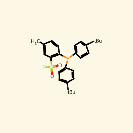 Cc1ccc(P(c2ccc(C(C)(C)C)cc2)c2ccc(C(C)(C)C)cc2)c(S(=O)(=O)F)c1